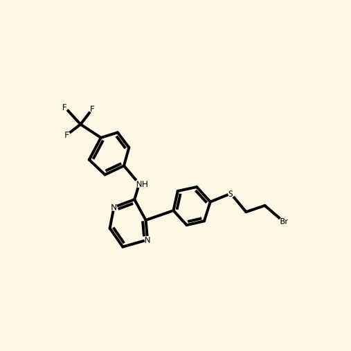 FC(F)(F)c1ccc(Nc2nccnc2-c2ccc(SCCBr)cc2)cc1